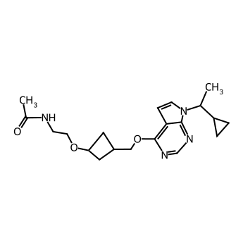 CC(=O)NCCOC1CC(COc2ncnc3c2ccn3C(C)C2CC2)C1